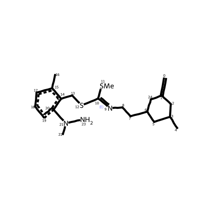 C=C1CC(C)CC(CC/N=C(\SC)SCc2c(C)cccc2N(C)N)C1